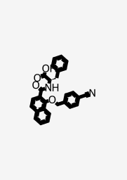 N#Cc1ccc(COc2c(C(=O)N[C@@H](Cc3ccccc3)C(=O)O)ccc3ccccc23)cc1